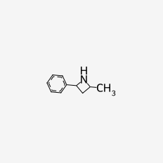 CC1CC(c2ccccc2)N1